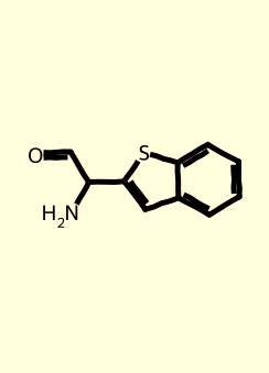 NC(C=O)c1cc2ccccc2s1